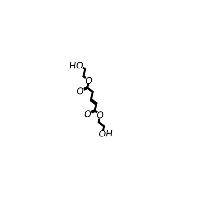 O=C(C=CCC(=O)OCCO)OCCO